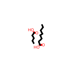 CCCCC(=O)O.CCCCCCCC(=O)O